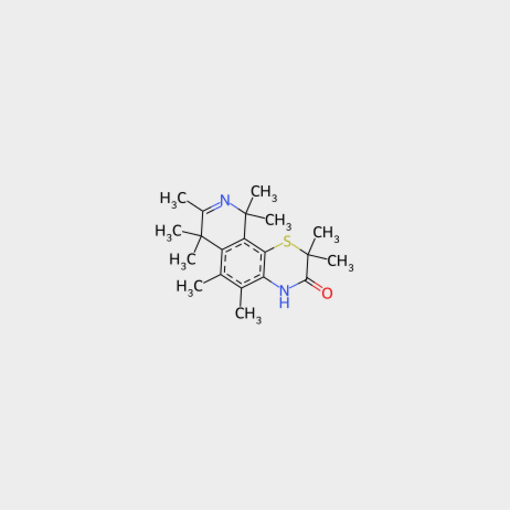 CC1=NC(C)(C)c2c3c(c(C)c(C)c2C1(C)C)NC(=O)C(C)(C)S3